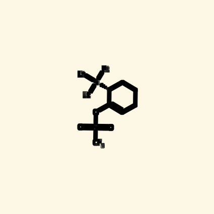 CC[Si](CC)(CC)[C@@H]1CCCC=C1OS(=O)(=O)C(F)(F)F